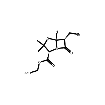 CC(=O)OCOC(=O)[C@@H]1N2C(=O)[C@H](CBr)[C@H]2SC1(C)C